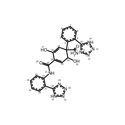 NC(=O)C1(c2ccccc2-c2nnn[nH]2)C=C(O)C(C(=O)Nc2ccccc2-c2nnn[nH]2)=CC1O